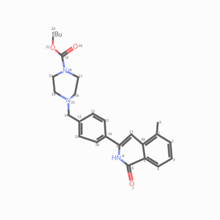 Cc1cccc2c(=O)[nH]c(-c3ccc(CN4CCN(C(=O)OC(C)(C)C)CC4)cc3)cc12